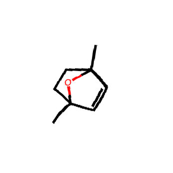 CC12C=CC(C)(CC1)O2